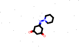 O=C1CC(=O)CC(=NN2CCCCC2)C1